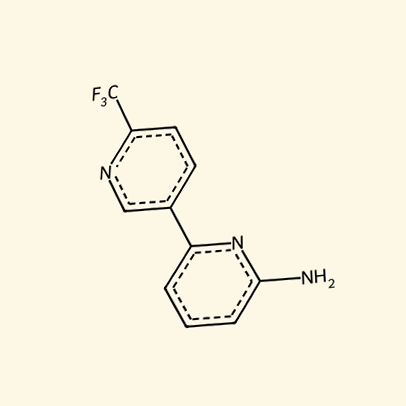 Nc1cccc(-c2ccc(C(F)(F)F)nc2)n1